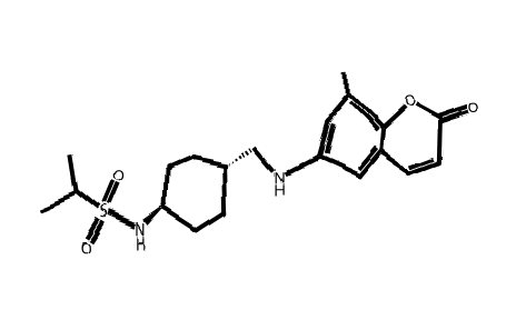 Cc1cc(NC[C@H]2CC[C@H](NS(=O)(=O)C(C)C)CC2)cc2ccc(=O)oc12